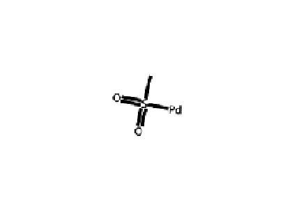 C[S](=O)(=O)[Pd]